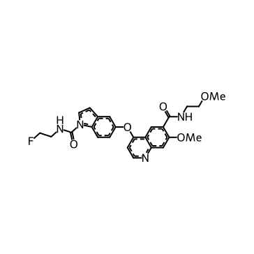 COCCNC(=O)c1cc2c(Oc3ccc4c(ccn4C(=O)NCCF)c3)ccnc2cc1OC